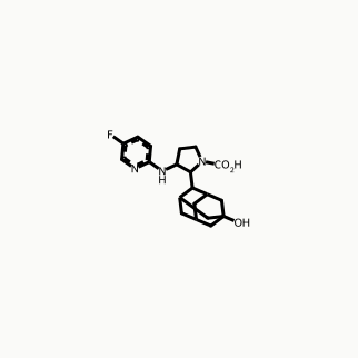 O=C(O)N1CCC(Nc2ccc(F)cn2)C1C1C2CC3CC1CC(O)(C3)C2